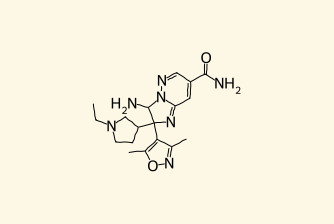 CCN1CCC(C2(c3c(C)noc3C)N=C3C=C(C(N)=O)C=NN3C2N)C1